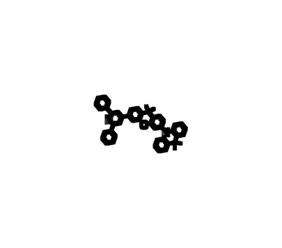 CC1(C)c2ccc(-c3cc(-c4ccccc4)nc(-c4ccccc4)c3)cc2Oc2cc(N3c4ccccc4C(C)(C)c4ccccc43)ccc21